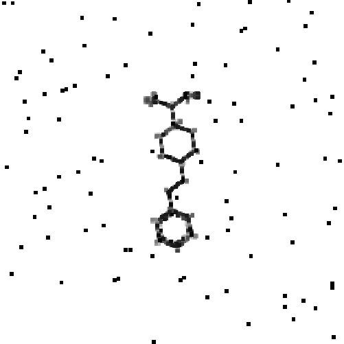 CC(C=O)N1CCC(CCc2ccccc2)CC1